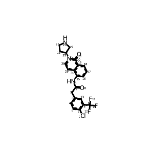 O=C(Cc1ccc(Cl)c(C(F)(F)F)c1)Nc1cccc2c(=O)n([C@H]3CCNC3)ccc12